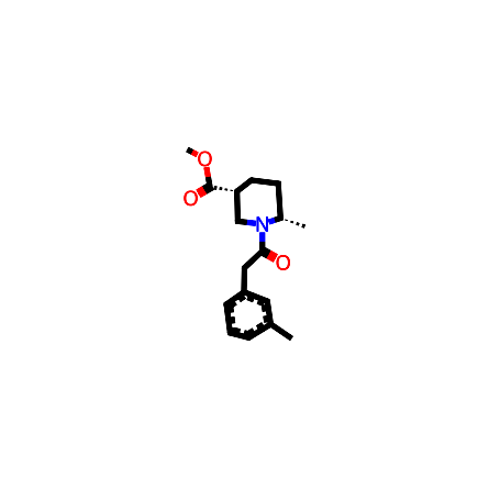 COC(=O)[C@@H]1CC[C@H](C)N(C(=O)Cc2cccc(C)c2)C1